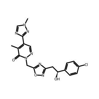 Cc1c(-c2ncn(C)n2)cnn(Cc2nc(C[C@H](O)c3ccc(Cl)cc3)no2)c1=O